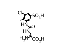 Cc1c(Cl)cc(S(=O)(=O)O)cc1NC(=O)NC[C@H](N)C(=O)O